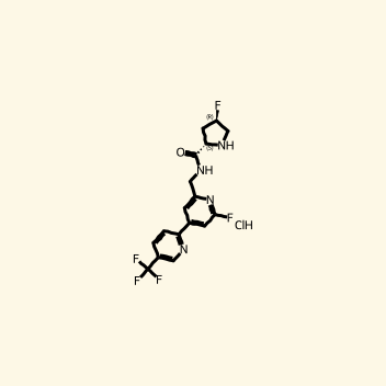 Cl.O=C(NCc1cc(-c2ccc(C(F)(F)F)cn2)cc(F)n1)[C@@H]1C[C@@H](F)CN1